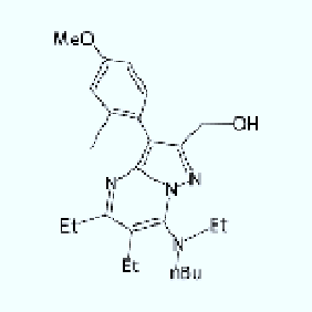 CCCCN(CC)c1c(CC)c(CC)nc2c(-c3ccc(OC)cc3C)c(CO)nn12